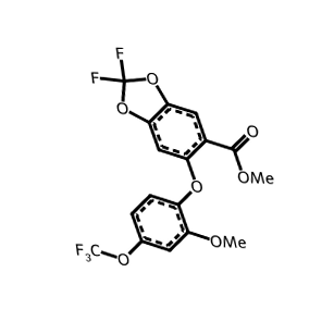 COC(=O)c1cc2c(cc1Oc1ccc(OC(F)(F)F)cc1OC)OC(F)(F)O2